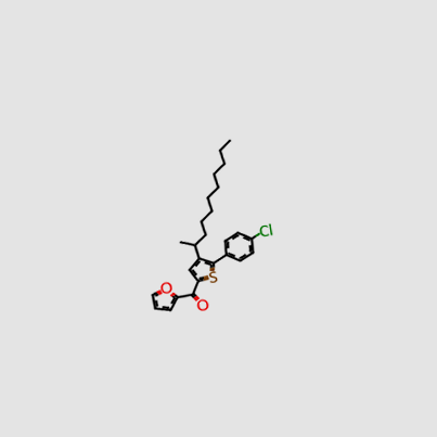 CCCCCCCCCC(C)c1cc(C(=O)c2ccco2)sc1-c1ccc(Cl)cc1